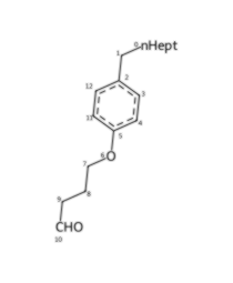 CCCCCCCCc1ccc(OCCCC=O)cc1